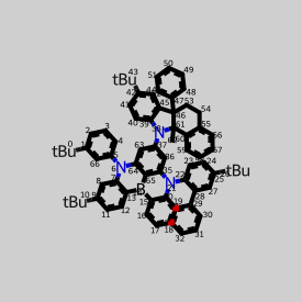 CC(C)(C)c1cccc(N2c3cc(C(C)(C)C)ccc3B3c4ccccc4N(c4ccc(C(C)(C)C)cc4-c4ccccc4)c4cc(N5c6ccc(C(C)(C)C)cc6C6(c7ccccc7)CCc7ccccc7C56C)cc2c43)c1